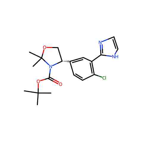 CC(C)(C)OC(=O)N1[C@@H](c2ccc(Cl)c(-c3ncc[nH]3)c2)COC1(C)C